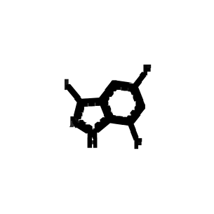 Fc1cc(F)c2[nH]nc(I)c2c1